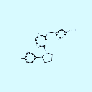 CCCc1cc(Nc2ncnc(N3CCCC3c3ccc(F)cc3)n2)n[nH]1